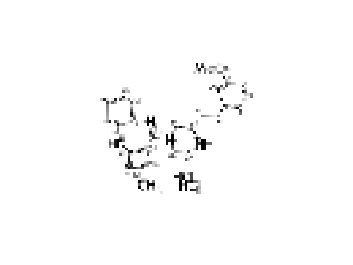 COc1cccc(CC[C@H]2CN(C3=Nc4ccccc4Nc4sc(C)cc43)CCN2)c1.Cl.Cl